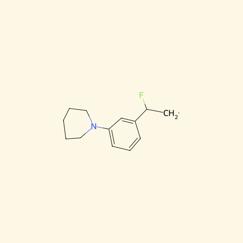 [CH2]C(F)c1cccc(N2CCCCC2)c1